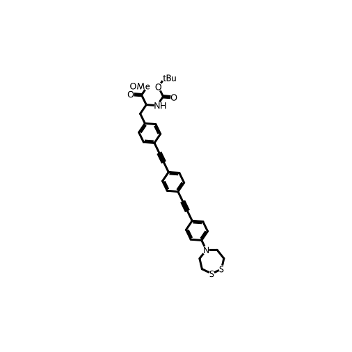 COC(=O)C(Cc1ccc(C#Cc2ccc(C#Cc3ccc(N4CCSSCC4)cc3)cc2)cc1)NC(=O)OC(C)(C)C